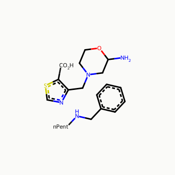 CCCCCNCc1ccccc1.NC1CN(Cc2ncsc2C(=O)O)CCO1